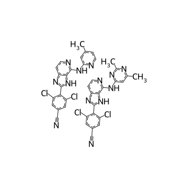 Cc1cc(Nc2nccc3nc(-c4c(Cl)cc(C#N)cc4Cl)[nH]c23)nc(C)n1.Cc1ccnc(Nc2nccc3nc(-c4c(Cl)cc(C#N)cc4Cl)[nH]c23)c1